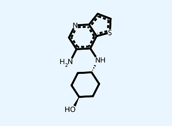 Nc1cnc2ccsc2c1N[C@H]1CC[C@H](O)CC1